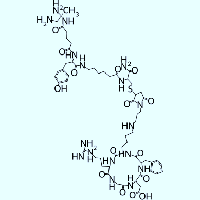 C[C@@](N)(CN)NC(=O)CCCC(=O)NC(Cc1ccc(O)cc1)C(=O)NCCCCCC(=O)NC(CSC1CC(=O)N(CCCNCCCCC2NC(=O)C(Cc3ccccc3)NC(=O)C(CC(=O)O)NC(=O)CNC(=O)C(CCCNC(=N)N)NC2=O)C1=O)C(N)=O